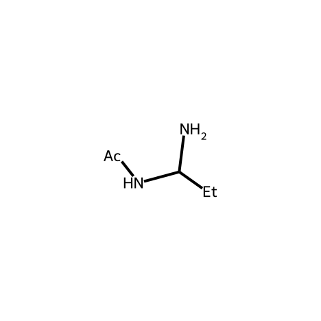 CCC(N)NC(C)=O